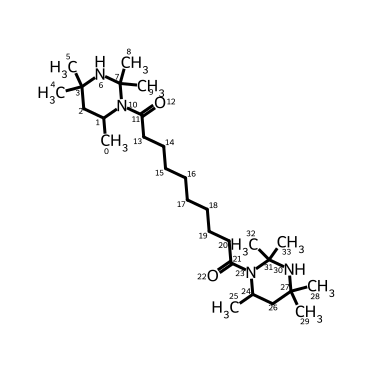 CC1CC(C)(C)NC(C)(C)N1C(=O)CCCCCCCCC(=O)N1C(C)CC(C)(C)NC1(C)C